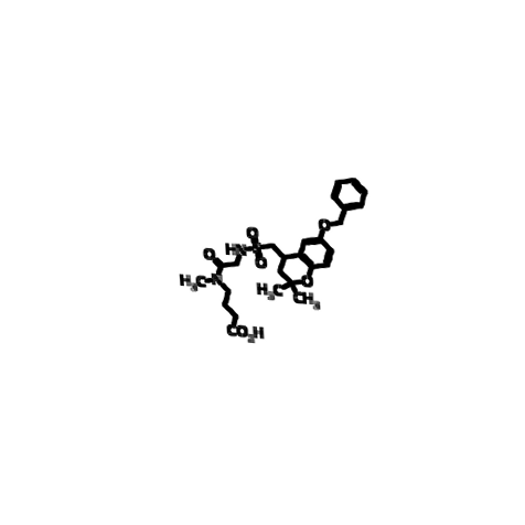 CN(CCCC(=O)O)C(=O)CNS(=O)(=O)CC1CC(C)(C)Oc2ccc(OCc3ccccc3)cc21